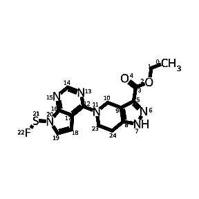 CCOC(=O)c1n[nH]c2c1CN(c1ncnc3c1ccn3SF)CC2